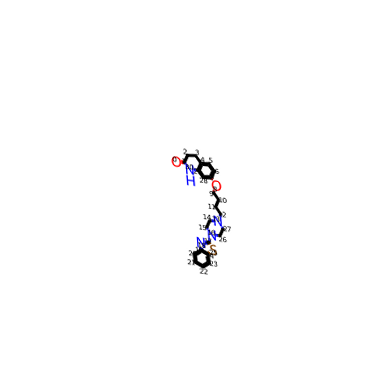 O=C1CCc2ccc(OCCCCN3CCN(c4nc5ccccc5s4)CC3)cc2N1